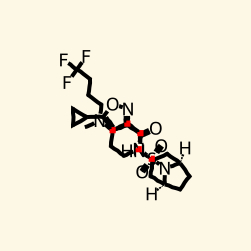 CN(CCCC(F)(F)F)C1CCN(S(=O)(=O)N2[C@@H]3CC[C@H]2C[C@@H](NC(=O)c2cc(C4CC4)on2)C3)CC1